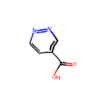 O=C(O)c1ccnnc1